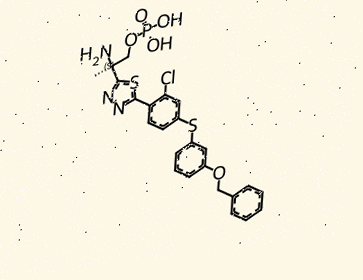 C[C@](N)(COP(=O)(O)O)c1nnc(-c2ccc(Sc3cccc(OCc4ccccc4)c3)cc2Cl)s1